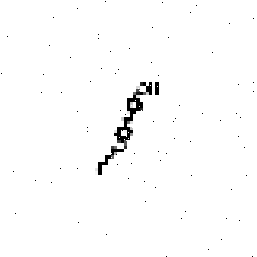 CCCCCCOc1ccc(C=Cc2ccc(CO)cc2)cc1